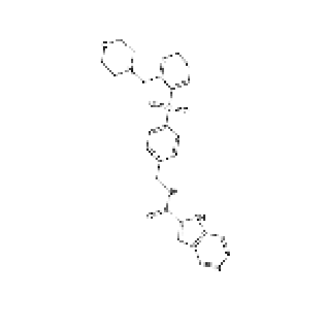 O=C(NCc1ccc(S(=O)(=O)c2ccccc2CN2CCOCC2)cc1)c1cc2cnccc2[nH]1